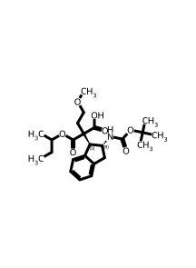 CCC(C)OC(=O)C(CCOC)(C(=O)O)[C@@H]1c2ccccc2C[C@H]1NC(=O)OC(C)(C)C